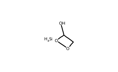 OC1COO1.[SiH4]